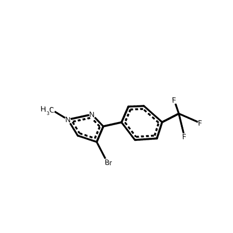 Cn1cc(Br)c(-c2ccc(C(F)(F)F)cc2)n1